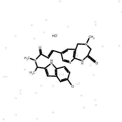 CC(c1cc2cc(Cl)ccc2[nH]1)N(C)C(=O)/C=C/c1cnc2c(c1)CN(C)CC(=O)N2.Cl